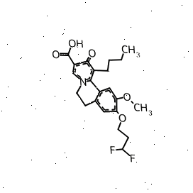 CCCCc1c2n(cc(C(=O)O)c1=O)CCc1cc(OCCC(F)F)c(OC)cc1-2